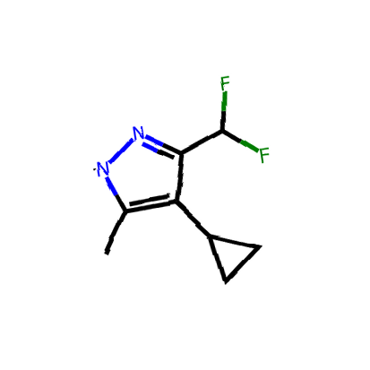 CC1=C(C2CC2)C(C(F)F)=N[N]1